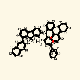 CC1(C)c2cc(N(c3ccc(C4CC5CCC4C5)cc3)c3ccccc3-c3ccccc3C3CCCCC3)ccc2-c2cccc(-c3ccc4ccccc4c3)c21